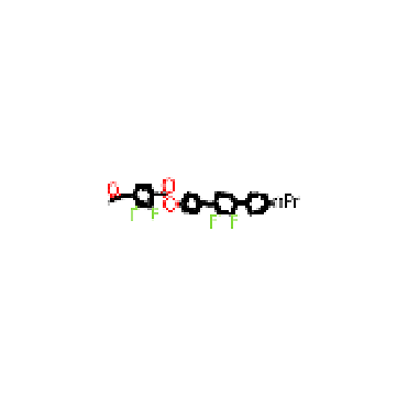 CCCc1ccc(-c2ccc(-c3ccc(OC(=O)c4ccc(C5CO5)c(F)c4F)cc3)c(F)c2F)cc1